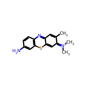 Cc1cc2nc3ccc(N)cc3sc-2cc1=[N+](C)C